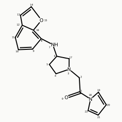 O=C(CN1CCC(Nc2cccc3ccoc23)C1)n1cccc1